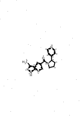 Cc1n[nH]c2ncc(C(=O)N3CCCC3c3ccncc3)cc12